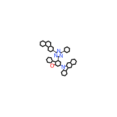 c1ccc(-c2nc(-c3ccc4c(ccc5ccccc54)c3)nc(-c3cc(-n4c5ccccc5c5cc6ccccc6cc54)cc4oc5ccccc5c34)n2)cc1